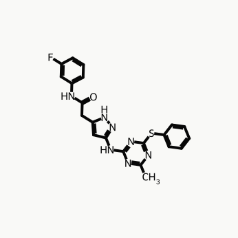 Cc1nc(Nc2cc(CC(=O)Nc3cccc(F)c3)[nH]n2)nc(Sc2ccccc2)n1